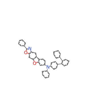 c1ccc(-c2nc3cc4c(cc3o2)oc2cc(N(c3ccccc3)c3ccc(-c5ccccc5-c5ccccc5)cc3)ccc24)cc1